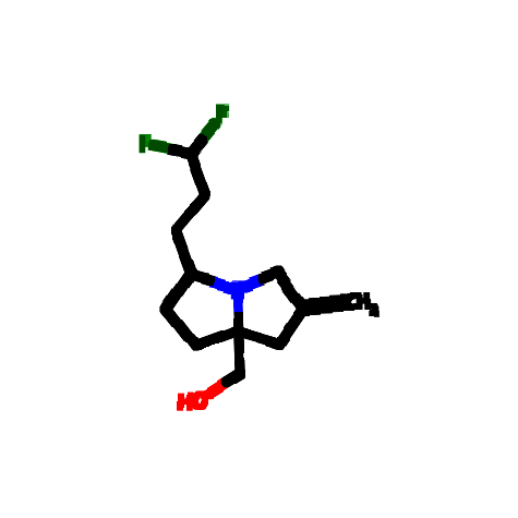 C=C1CN2C(CCC(F)F)CCC2(CO)C1